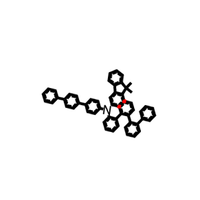 CC1(C)c2ccccc2-c2cc(N(c3ccc(-c4ccc(-c5ccccc5)cc4)cc3)c3ccccc3-c3ccccc3-c3ccccc3-c3ccccc3)ccc21